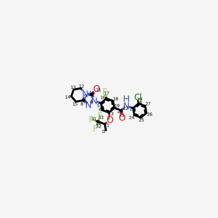 CC(Oc1cc(-n2nc3n(c2=O)CCCC3)c(F)cc1C(=O)Nc1ccccc1Cl)C(F)(F)F